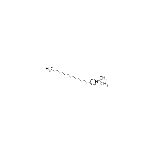 CCCCCCCCCCCCCCc1cc[n+](C(C)C)cc1